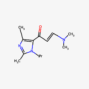 Cc1nc(C)n(C(C)C)c1C(=O)C=CN(C)C